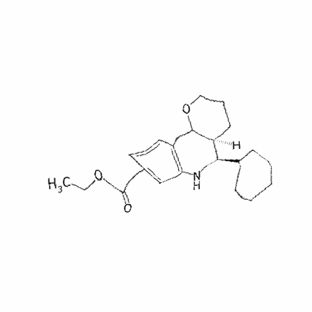 CCOC(=O)c1ccc2c(c1)N[C@H](C1CCCCC1)[C@@H]1CCCOC21